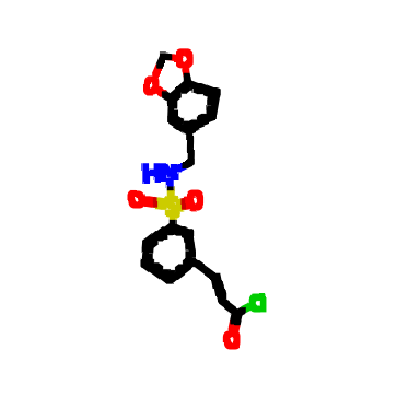 O=C(Cl)/C=C/c1cccc(S(=O)(=O)NCc2ccc3c(c2)OCO3)c1